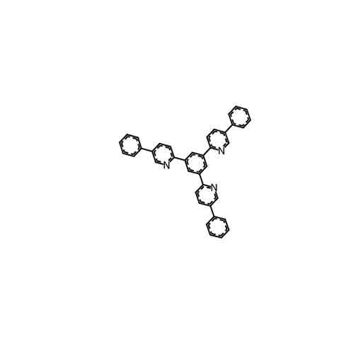 c1ccc(-c2ccc(-c3cc(-c4ccc(-c5ccccc5)cn4)cc(-c4ccc(-c5ccccc5)cn4)c3)nc2)cc1